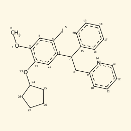 COc1cc(I)c(C(Cc2ccccn2)c2ccccc2)cc1OC1CCCC1